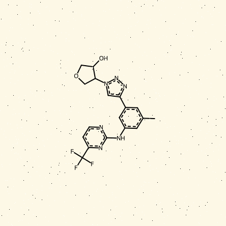 Cc1cc(Nc2nccc(C(F)(F)F)n2)cc(-c2cn(C3COCC3O)nn2)c1